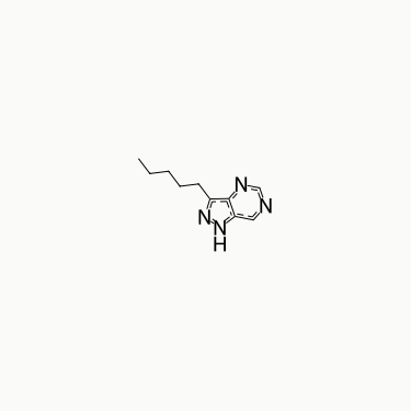 CCCCCc1n[nH]c2cncnc12